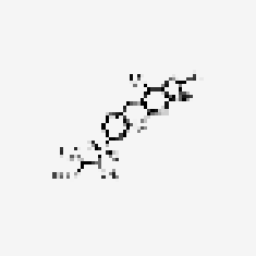 CCc1nc2c(C)c(Cc3ccc(S(=O)(=O)N(C)C(C)C(=O)O)cc3)c(C)nc2[nH]1